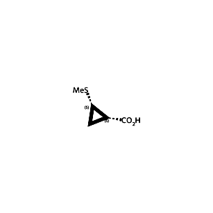 CS[C@H]1C[C@H]1C(=O)O